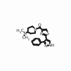 CN(C)C1CCN(C(=O)c2csc(-c3c[nH]nc3-c3ccccc3)n2)CC1